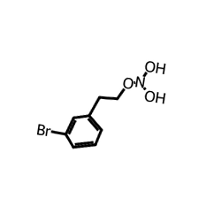 ON(O)OCCc1cccc(Br)c1